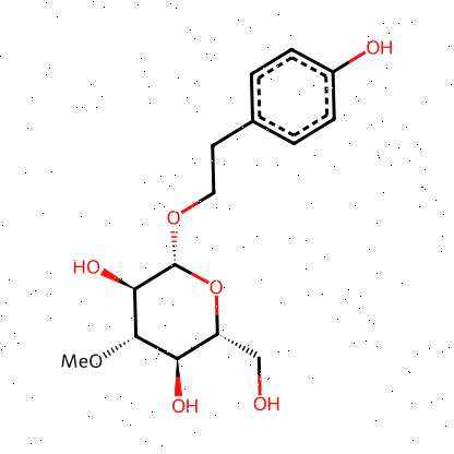 CO[C@@H]1[C@@H](O)[C@H](OCCc2ccc(O)cc2)O[C@H](CO)[C@H]1O